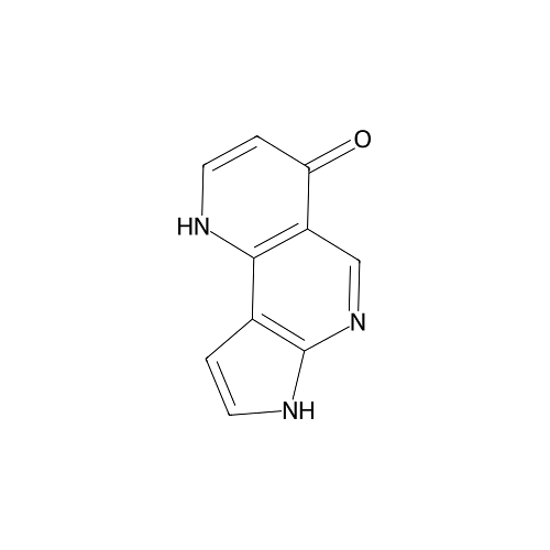 O=c1cc[nH]c2c1cnc1[nH]ccc12